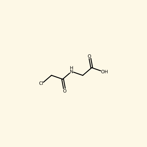 O=C(O)CNC(=O)CCl